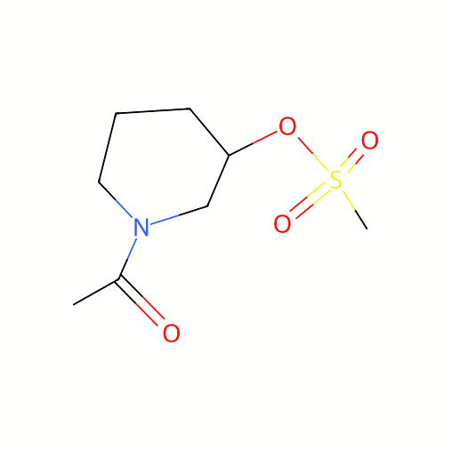 CC(=O)N1CCCC(OS(C)(=O)=O)C1